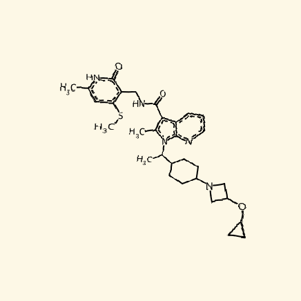 CSc1cc(C)[nH]c(=O)c1CNC(=O)c1c(C)n(C(C)C2CCC(N3CC(OC4CC4)C3)CC2)c2ncccc12